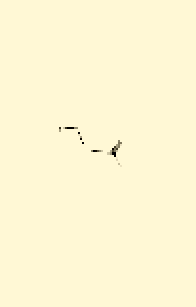 CC(=O)O[I+][O-]